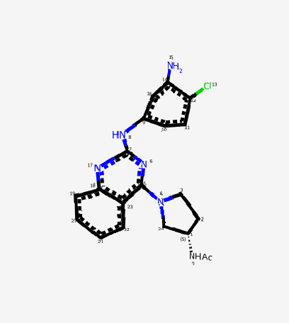 CC(=O)N[C@H]1CCN(c2nc(Nc3ccc(Cl)c(N)c3)nc3ccccc23)C1